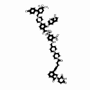 CC1(C)CCC(CN2CCN(c3ccc(C(=O)NS(=O)(=O)c4ccc(NCC5CCN(C6CCN(C(=O)CCC#Cc7cccc8c7CN(C7CCC(=O)NC7=O)C8=O)CC6)CC5)c([N+](=O)[O-])c4)c(Oc4cnc5[nH]ccc5c4)c3)CC2)=C(c2ccc(Cl)cc2)C1